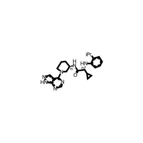 CC(C)c1ccccc1N[C@@H](C(=O)N[C@@H]1CCCN(c2ncnc3[nH]ncc23)C1)C1CC1